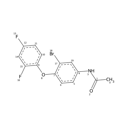 CC(=O)Nc1ccc(Oc2ccc(F)cc2F)c(Br)c1